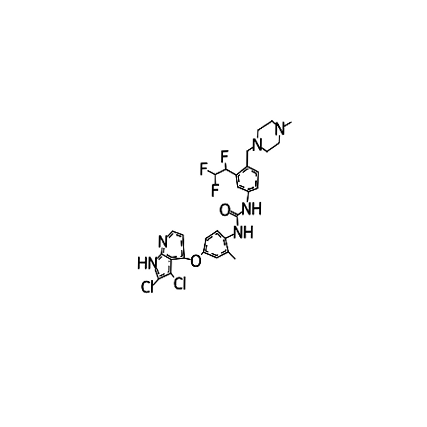 Cc1cc(Oc2ccnc3[nH]c(Cl)c(Cl)c23)ccc1NC(=O)Nc1ccc(CN2CCN(C)CC2)c(C(F)C(F)F)c1